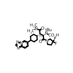 CN(C)C(=O)[C@@H](C1CCC(c2ccc3ncnn3c2)CC1)[C@@H](C(=O)N1CCC(F)(F)C1)N(C(=O)O)C(C)(C)C